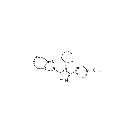 Cc1ccc(-c2ncc(-c3nc4ccccc4o3)n2C2CCCCC2)cc1